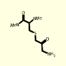 CNC(=O)C(CSCC(=O)CN)NC